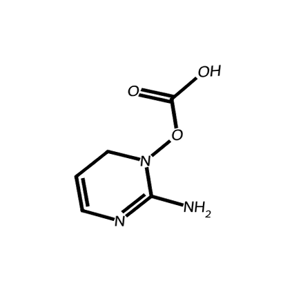 NC1=NC=CCN1OC(=O)O